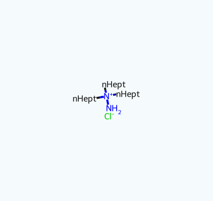 CCCCCCC[N+](N)(CCCCCCC)CCCCCCC.[Cl-]